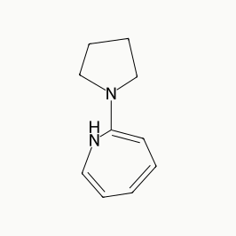 C1=CC=C(N2CCCC2)NC=C1